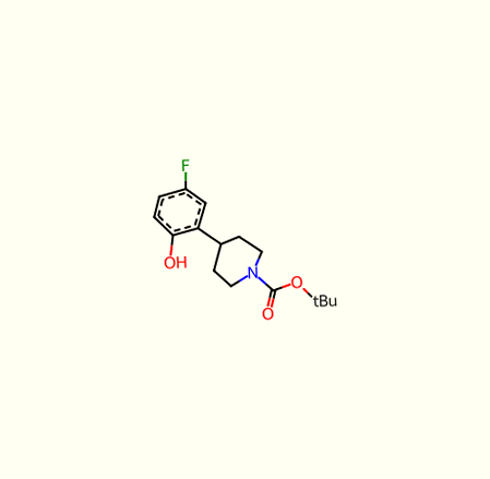 CC(C)(C)OC(=O)N1CCC(c2cc(F)ccc2O)CC1